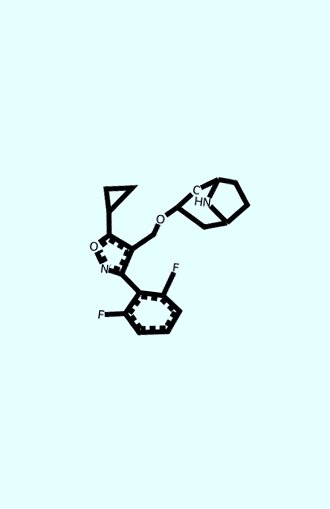 Fc1cccc(F)c1-c1noc(C2CC2)c1COC1CC2CCC(C1)N2